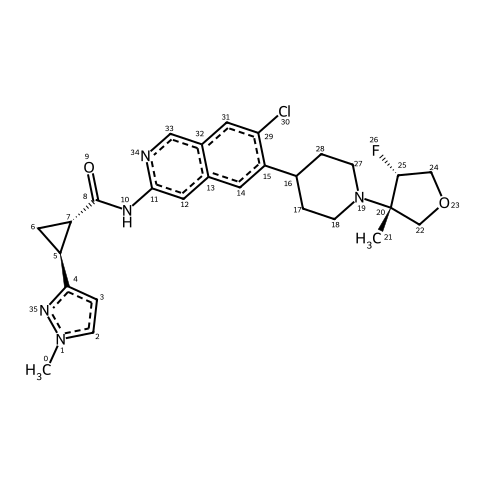 Cn1ccc([C@H]2C[C@@H]2C(=O)Nc2cc3cc(C4CCN([C@@]5(C)COC[C@H]5F)CC4)c(Cl)cc3cn2)n1